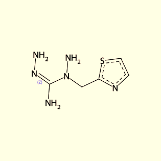 N/N=C(/N)N(N)Cc1nccs1